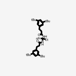 CCCC(CC)(NC(=O)CCc1cc(C(C)(C)C)cc(C(C)(C)C)c1)NC(=O)CCc1cc(C(C)(C)C)cc(C(C)(C)C)c1